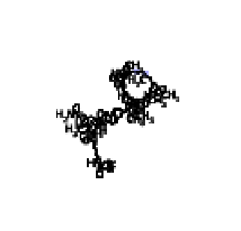 COc1cc2cc(c1Cl)N(C)C(=O)C[C@H](OC(=O)[C@H](C)N(C)C(=O)c1ccc3nc(NC(=O)[C@H](CCCNC(N)=O)NC(=O)[C@@H](NC(=O)CCCCCNC(C=O)(CBr)CBr)C(C)C)ccc3c1)[C@]1(C)O[C@H]1C[C@@H]1C[C@@](O)(NC(=O)O1)[C@H](OC)/C=C/C=C(\C)C2